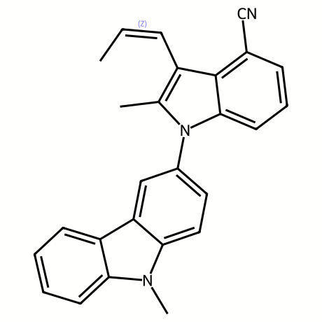 C/C=C\c1c(C)n(-c2ccc3c(c2)c2ccccc2n3C)c2cccc(C#N)c12